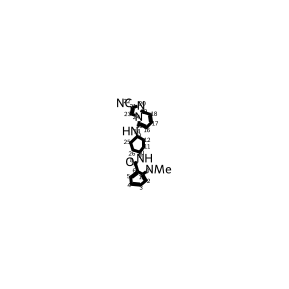 CNc1ccccc1C(=O)N[C@H]1CC[C@@H](Nc2cccc3nc(C#N)cn23)CC1